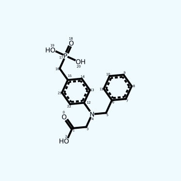 O=C(O)CN(Cc1ccccc1)c1ccc(CP(=O)(O)O)cc1